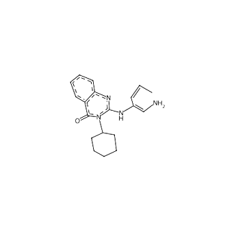 C/C=C\C(=C/N)Nc1nc2ccccc2c(=O)n1C1CCCCC1